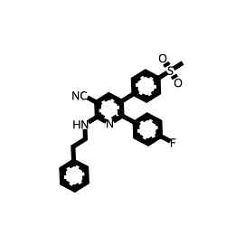 CS(=O)(=O)c1ccc(-c2cc(C#N)c(NCCc3ccccc3)nc2-c2ccc(F)cc2)cc1